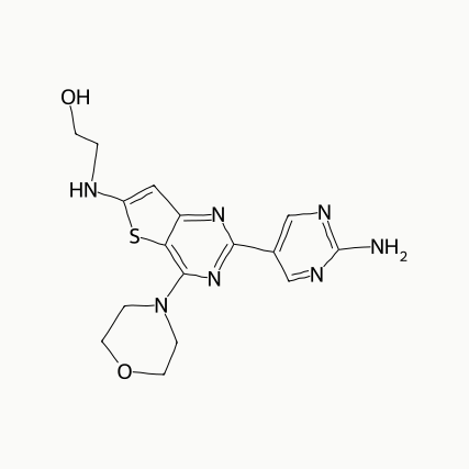 Nc1ncc(-c2nc(N3CCOCC3)c3sc(NCCO)cc3n2)cn1